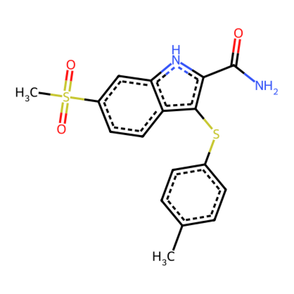 Cc1ccc(Sc2c(C(N)=O)[nH]c3cc(S(C)(=O)=O)ccc23)cc1